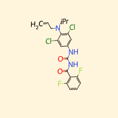 C=CCN(c1c(Cl)cc(NC(=O)NC(=O)c2c(F)cccc2F)cc1Cl)C(C)C